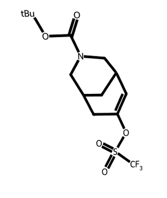 CC(C)(C)OC(=O)N1CC2C=C(OS(=O)(=O)C(F)(F)F)CC(C2)C1